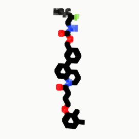 Cc1cccc(OCCCC(=O)N2CCCc3c(-c4cccc(COC(=O)NCC(F)C(=O)O)c4)cccc32)c1C